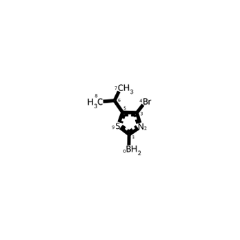 Bc1nc(Br)c(C(C)C)s1